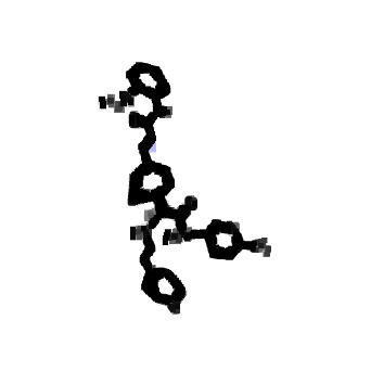 Nc1ccccc1NC(=O)/C=C/c1ccc([C@H](NCCN2CC3CC2CO3)C(=O)Nc2ccc(C(F)(F)F)nc2)cc1